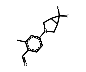 Cc1cc(N2CC3C(C2)C3(F)F)ccc1C=O